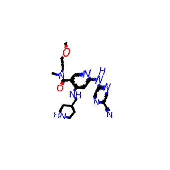 COCCN(C)C(=O)c1cnc(Nc2cnc(C#N)cn2)cc1NCC1CCNCC1